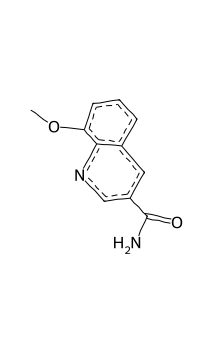 COc1cccc2cc(C(N)=O)cnc12